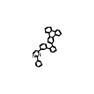 c1ccc(-c2nccc(-c3cccc(-c4ccccc4-c4ccc5c6ccccc6c6ccccc6c5c4)c3)n2)cc1